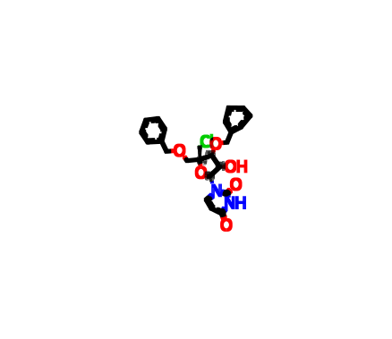 O=c1ccn([C@@H]2O[C@](CCl)(COCc3ccccc3)[C@@H](OCc3ccccc3)[C@H]2O)c(=O)[nH]1